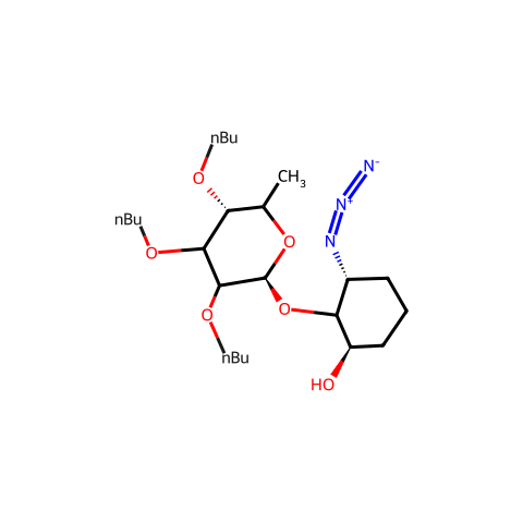 CCCCOC1C(OCCCC)[C@H](OCCCC)C(C)O[C@H]1OC1[C@H](O)CCC[C@H]1N=[N+]=[N-]